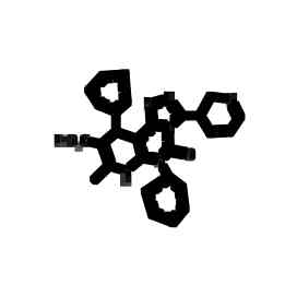 CCOC(=O)C1=C(C)Nc2c(c3nnc(C4C=CC=NC4)n3c(=O)n2-c2ccccc2)C1c1ccccc1